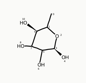 CC1O[C@@H](O)C(O)C(O)[C@H]1O